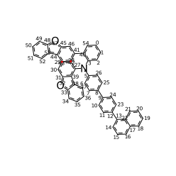 c1ccc(N(c2ccc(-c3ccc(-c4cccc5ccccc45)cc3)cc2)c2cccc3oc4ccccc4c23)c(-c2ccc3c(c2)oc2ccccc23)c1